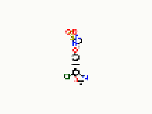 CC(C)(c1ccc(OCc2ccnc(C[SH](=O)=O)n2)cc1)c1cc(Cl)c(OC2CC2)c(C#N)c1